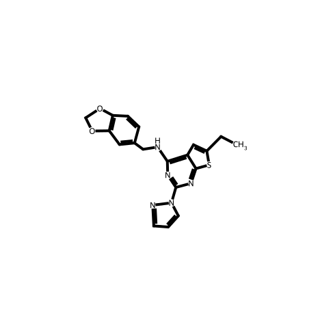 CCc1cc2c(NCc3ccc4c(c3)OCO4)nc(-n3cccn3)nc2s1